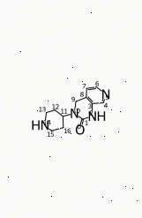 O=C1Nc2cnccc2CN1C1CCNCC1